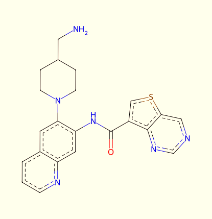 NCC1CCN(c2cc3cccnc3cc2NC(=O)c2csc3cncnc23)CC1